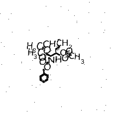 C=CC[C@@H](COS(C)(=O)=O)[C@H](NC(=O)OCc1ccccc1)C(=O)OC(C)(C)C